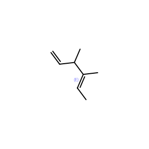 C=CC(C)/C(C)=C/C